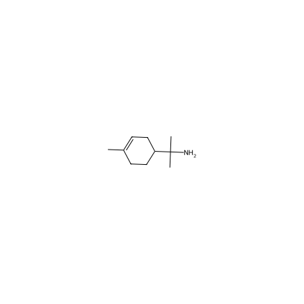 CC1=CCC(C(C)(C)N)CC1